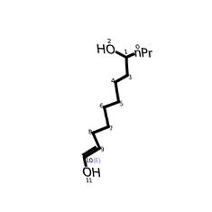 CCCC(O)CCCCCC/C=C/O